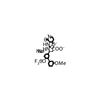 COc1cccc(-c2cc([C@H](CC(=O)[O-])NC(=O)Nc3c([O-])ccn(C)c3=O)ccc2OC(F)(F)F)c1.[Na+].[Na+]